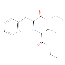 CCOC(=O)C(Cc1ccccc1)N[C@@H](CC)C(=O)OCC